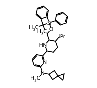 CC(C)C1CCC(c2cccc(N(C)C3CC4(CC4)C3)n2)NC1CO[Si]1(c2ccccc2)c2ccccc2C1(C)C